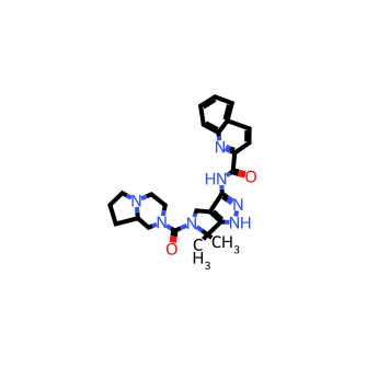 CC1(C)c2[nH]nc(NC(=O)c3ccc4ccccc4n3)c2CN1C(=O)N1CCN2CCCC2C1